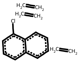 C=C.C=C.C=C.Clc1cccc2ccccc12